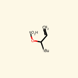 C=CC(CCCC)OS(=O)(=O)O